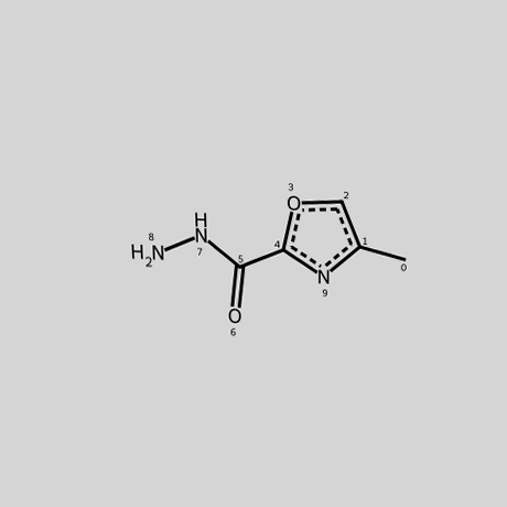 Cc1coc(C(=O)NN)n1